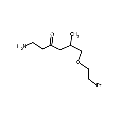 CC(C)CCOCC(C)CC(=O)CCN